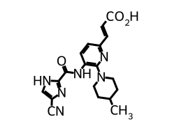 CC1CCN(c2nc(/C=C/C(=O)O)ccc2NC(=O)c2nc(C#N)c[nH]2)CC1